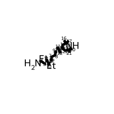 CC[N+](CC)(CCN)CCCC[N+](C)(C)C1CC(C)(C)NC(C)(C)C1